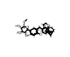 CS[C@H]1OC(c2ccc(Cl)c(Cc3ccc(C45CCC6(CC4C5)OCCO6)cc3)c2)[C@H](O)[C@@H](O)[C@@H]1O